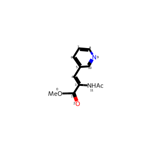 COC(=O)/C(=C/c1cccnc1)NC(C)=O